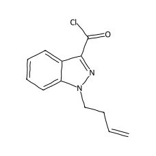 C=CCCn1nc(C(=O)Cl)c2ccccc21